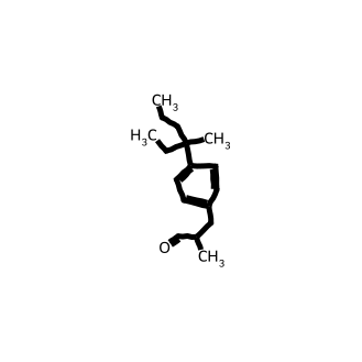 CCCC(C)(CC)c1ccc(CC(C)C=O)cc1